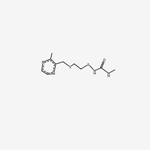 CNC(=O)NSCCSCc1nccnc1C